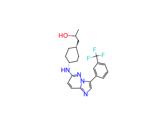 CC(O)C[C@H]1CC[C@H](Nc2ccc3ncc(-c4cccc(C(F)(F)F)c4)n3n2)CC1